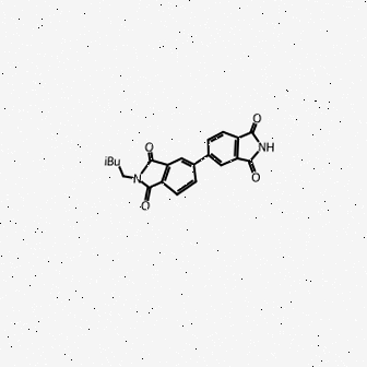 CCC(C)CN1C(=O)c2ccc(-c3ccc4c(c3)C(=O)NC4=O)cc2C1=O